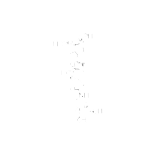 CCOC(CNC(=O)C[S+]([O-])Cc1nc(-c2ccc(OC)c(OC)c2)oc1C)OCC